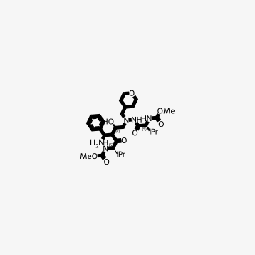 COC(=O)N[C@H](C(=O)NN(CC1CCOCC1)C[C@H](O)C(C(=O)[C@@H](NC(=O)OC)C(C)C)C(N)c1ccccc1)C(C)C